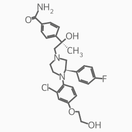 C[C@](O)(CN1CCN(c2ccc(OCCO)cc2Cl)[C@H](c2ccc(F)cc2)C1)c1ccc(C(N)=O)cc1